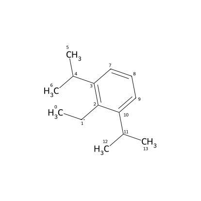 C[CH]c1c(C(C)C)cccc1C(C)C